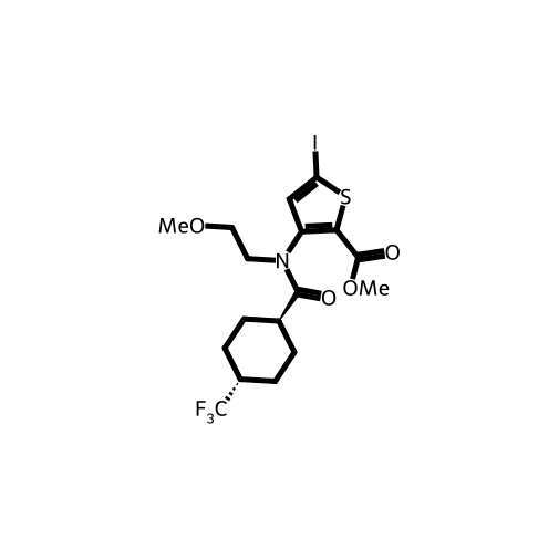 COCCN(c1cc(I)sc1C(=O)OC)C(=O)[C@H]1CC[C@H](C(F)(F)F)CC1